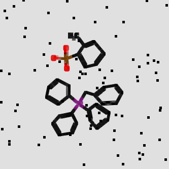 Cc1ccccc1S(=O)(=O)[O-].c1ccc(C[P+](c2ccccc2)(c2ccccc2)c2ccccc2)cc1